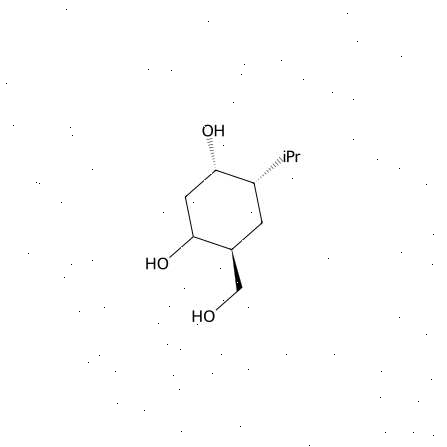 CC(C)[C@@H]1C[C@@H](CO)C(O)C[C@@H]1O